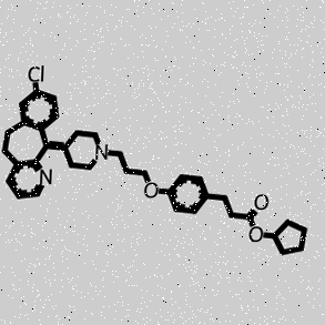 O=C(CCc1ccc(OCCCN2CCC(=C3c4ccc(Cl)cc4CCc4cccnc43)CC2)cc1)OC1CCCC1